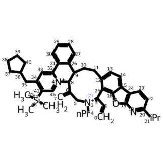 C=C/C1=[N+](\CCC)CC(=C)C2C(CCc3ccc4c(oc5nc(C(C)C)ccc54)c31)c1ccccc1-c1cc(CC3CCCC3)c([Si](C)(C)C)c[n+]12